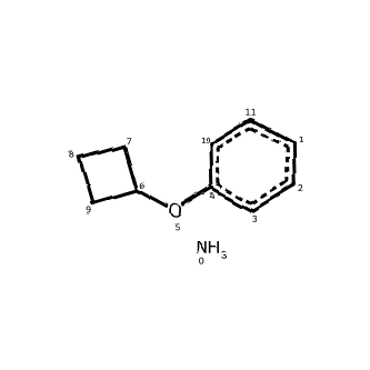 N.c1ccc(OC2CCC2)cc1